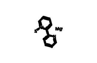 [Mg].[S-][n+]1ccccc1-c1ccccn1